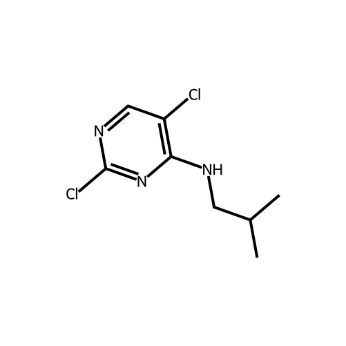 CC(C)CNc1nc(Cl)ncc1Cl